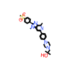 Cc1nc(-c2ccc(N3CCN(CC(C)(C)O)CC3)cc2)cc2c1nc(-c1ccc(S(C)(=O)=O)cc1)n2C